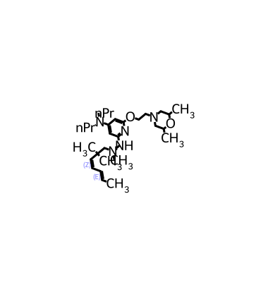 C/C=C/C=C\C(C)(C)CN(C)Nc1cc(N(CCC)CCC)cc(OCCN2CC(C)OC(C)C2)n1